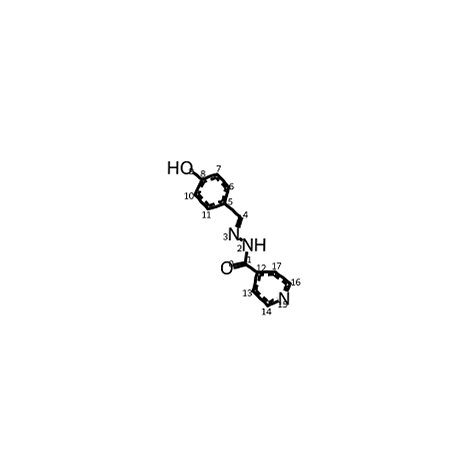 O=C(N/N=C/c1ccc(O)cc1)c1ccncc1